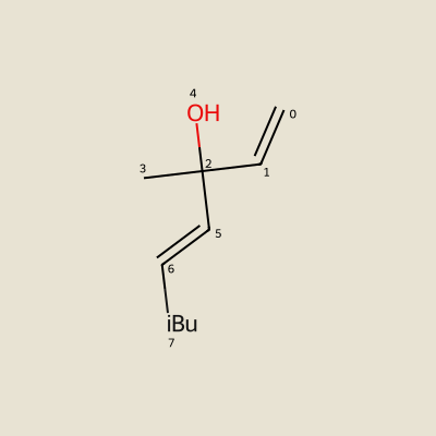 C=CC(C)(O)C=CC(C)CC